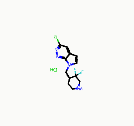 Cl.FC1(F)CNCCC1Cn1ccc2cc(Cl)nnc21